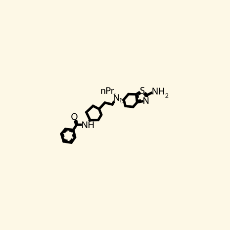 CCCN(CCC1CCC(NC(=O)c2ccccc2)CC1)[C@H]1CCc2nc(N)sc2C1